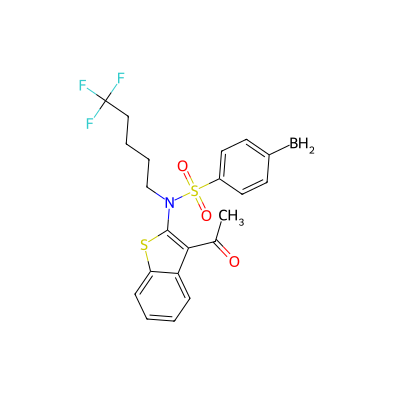 Bc1ccc(S(=O)(=O)N(CCCCC(F)(F)F)c2sc3ccccc3c2C(C)=O)cc1